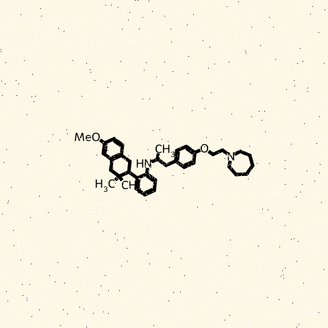 COc1ccc2c(c1)CC(C)(C)C(c1ccccc1NC(C)Cc1ccc(OCCN3CCCCCC3)cc1)C2